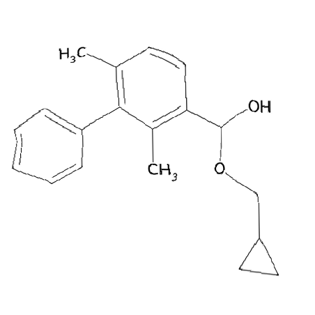 Cc1ccc(C(O)OCC2CC2)c(C)c1-c1ccccc1